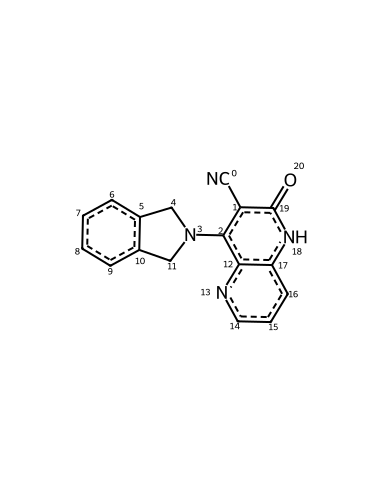 N#Cc1c(N2Cc3ccccc3C2)c2ncccc2[nH]c1=O